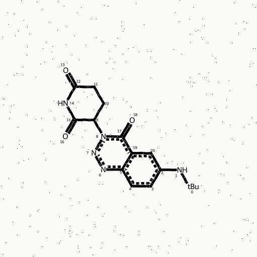 CC(C)(C)Nc1ccc2nnn(C3CCC(=O)NC3=O)c(=O)c2c1